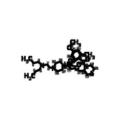 CCCN(CCC)CCN1CCN(C(=O)COCC2CSCCN2S(=O)(=O)c2c(C)cc(OC)cc2C)CC1